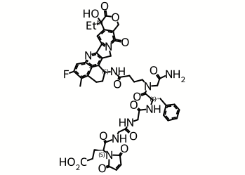 CC[C@@]1(O)C(=O)OCc2c1cc1n(c2=O)Cc2c-1nc1cc(F)c(C)c3c1c2[C@@H](NC(=O)CCCN(CC(N)=O)C(=O)[C@H](Cc1ccccc1)NC(=O)CNC(=O)CNC(=O)[C@H](CCC(=O)O)N1C(=O)C=CC1=O)CC3